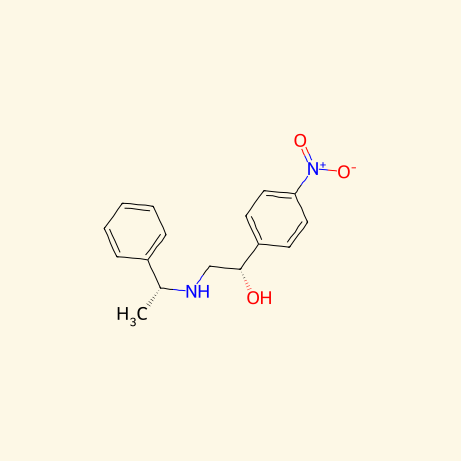 C[C@@H](NC[C@@H](O)c1ccc([N+](=O)[O-])cc1)c1ccccc1